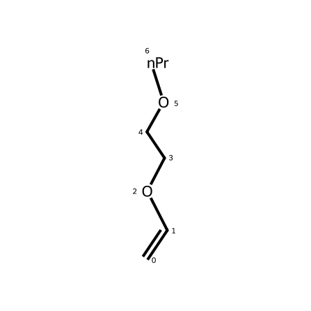 C=COCCOCCC